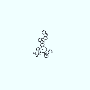 C=C1CC2C(CCc3cc4c(cc3-c3cccc[n+]31)c1cccc3c5c6c(ccc5n4c13)sc1ccccc16)c1ccccc1-c1cccc[n+]12